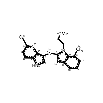 COCCn1c(Nc2c[nH]c3ccc(Cl)nc23)nc2cccc(C(F)(F)F)c21